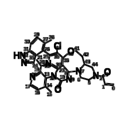 C=CC(=O)N1CCN2c3nc(=O)n(-c4c(C)ccnc4C(C)C)c4nc(-c5c(C)ccc6[nH]ncc56)c(Cl)c(c34)OCCC2C1